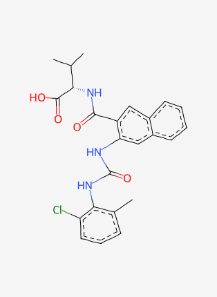 Cc1cccc(Cl)c1NC(=O)Nc1cc2ccccc2cc1C(=O)N[C@H](C(=O)O)C(C)C